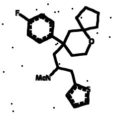 CNC(Cc1cccs1)CC1(c2ccc(F)cc2)CCOC2(CCCC2)C1